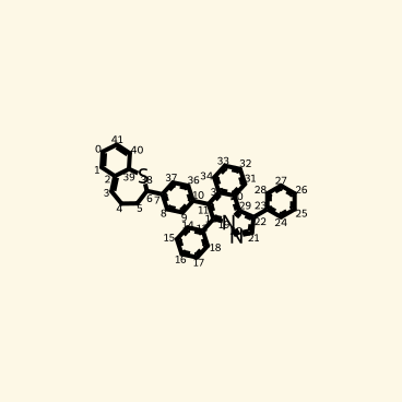 C1=CC2=CCCC(c3ccc(-c4c(-c5ccccc5)n5ncc(-c6ccccc6)c5c5ccccc45)cc3)SC2C=C1